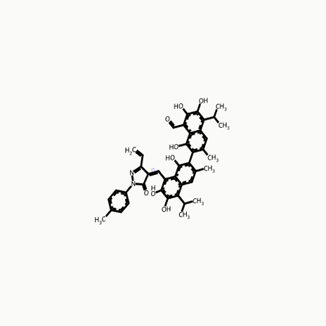 C=CC1=NN(c2ccc(C)cc2)C(=O)/C1=C\c1c(O)c(O)c(C(C)C)c2cc(C)c(-c3c(C)cc4c(C(C)C)c(O)c(O)c(C=O)c4c3O)c(O)c12